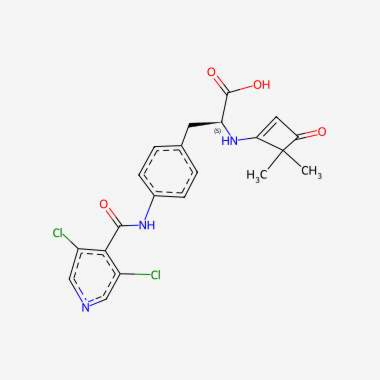 CC1(C)C(=O)C=C1N[C@@H](Cc1ccc(NC(=O)c2c(Cl)cncc2Cl)cc1)C(=O)O